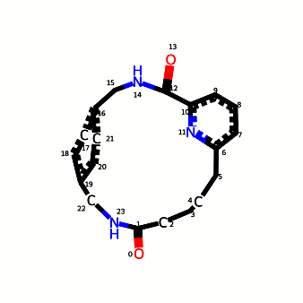 O=C1CCCCc2cccc(n2)C(=O)NCc2ccc(cc2)CN1